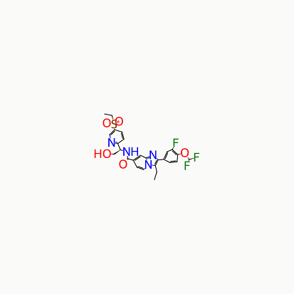 CCc1c(-c2ccc(OC(F)F)c(F)c2)nc2cc(C(=O)N[C@@H](CO)c3ccc(S(=O)(=O)CC)cn3)ccn12